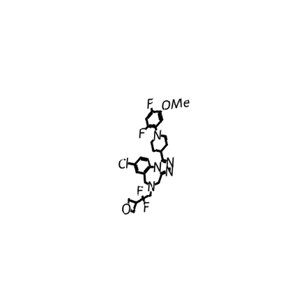 COc1cc(N2CCC(c3nnc4n3-c3ccc(Cl)cc3CN(CC(F)(F)C3COC3)C4)CC2)c(F)cc1F